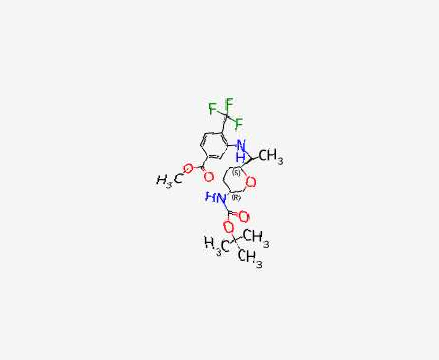 COC(=O)c1ccc(C(F)(F)F)c(NC(C)[C@@H]2CC[C@@H](NC(=O)OC(C)(C)C)CO2)c1